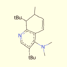 CC1C=Cc2c(ncc(C(C)(C)C)c2N(C)C)C1C(C)(C)C